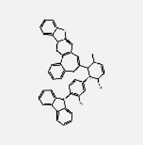 CC1C=CC(C#N)[C@@H](c2ccc(-n3c4ccccc4c4ccccc43)c(C#N)c2)C1C1=CC2=C(CC3C(=C2)Sc2ccccc23)c2ccccc2C1